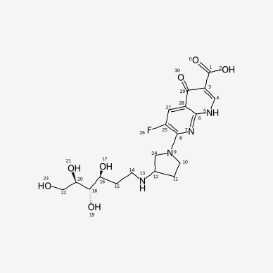 O=C(O)c1c[nH]c2nc(N3CCC(NCC[C@H](O)[C@H](O)[C@H](O)CO)C3)c(F)cc2c1=O